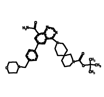 CC(C)(C)OC(=O)N1CCCC2(CCN(c3ncnc4c(C(N)=O)cc(-c5ccc(CN6CCOCC6)cc5)cc34)CC2)C1